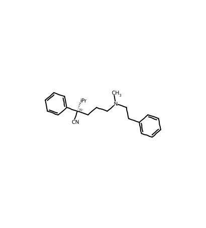 CC(C)[C@@](C#N)(CCCN(C)CCc1ccccc1)c1ccccc1